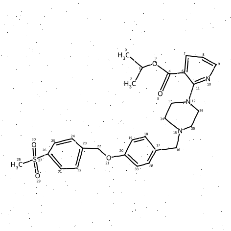 CC(C)OC(=O)c1cccnc1N1CCN(Cc2ccc(OCc3ccc(S(C)(=O)=O)cc3)cc2)CC1